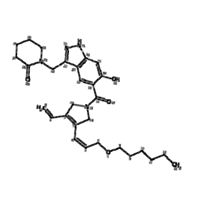 C=CC1=C(/C=C\COCCCCCC)CN(C(=O)c2cc3c(CN4CCCCC4=O)n[nH]c3cc2O)C1